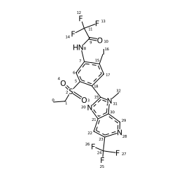 CCS(=O)(=O)c1cc(NC(=O)C(F)(F)F)c(I)cc1-c1nc2cc(C(F)(F)F)ncc2n1C